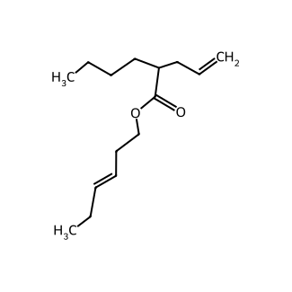 C=CCC(CCCC)C(=O)OCCC=CCC